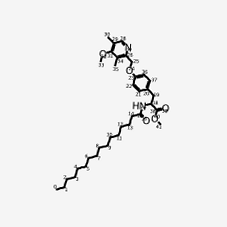 CCCCCCCCCCCCCCCC(=O)NC(Cc1ccc(OCc2ncc(C)c(OC)c2C)cc1)C(=O)OC